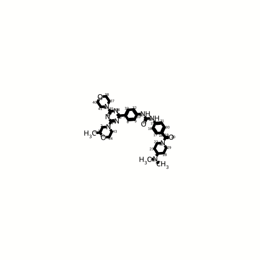 CC1CN(c2nc(-c3ccc(NC(=O)Nc4ccc(C(=O)N5CCC(N(C)C)CC5)cc4)cc3)nc(N3CCOCC3)n2)CCO1